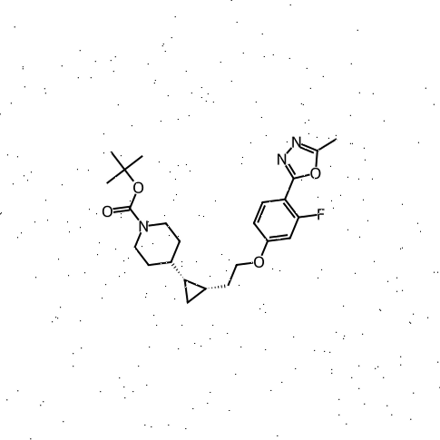 Cc1nnc(-c2ccc(OCC[C@@H]3C[C@@H]3C3CCN(C(=O)OC(C)(C)C)CC3)cc2F)o1